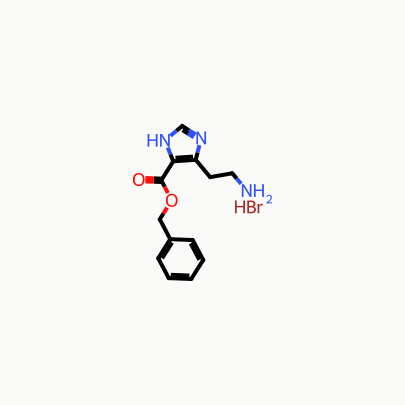 Br.NCCc1nc[nH]c1C(=O)OCc1ccccc1